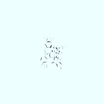 Cc1ccc2c(c1)c(-n1c(=O)[nH]c3cscc3c1=O)c(C(=O)NS(C)(=O)=O)n2Cc1ccc2c(c1)OCO2